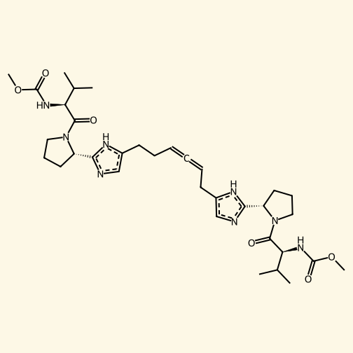 COC(=O)N[C@H](C(=O)N1CCC[C@H]1c1ncc(CC=C=CCCc2cnc([C@@H]3CCCN3C(=O)[C@@H](NC(=O)OC)C(C)C)[nH]2)[nH]1)C(C)C